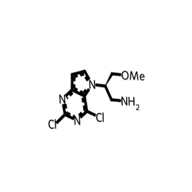 COC[C@@H](CN)n1ccc2nc(Cl)nc(Cl)c21